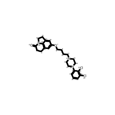 O=C1CCc2cc(OCCCCN3CCN(c4cccc(Cl)c4Cl)CC3)cc3c2N1CC3